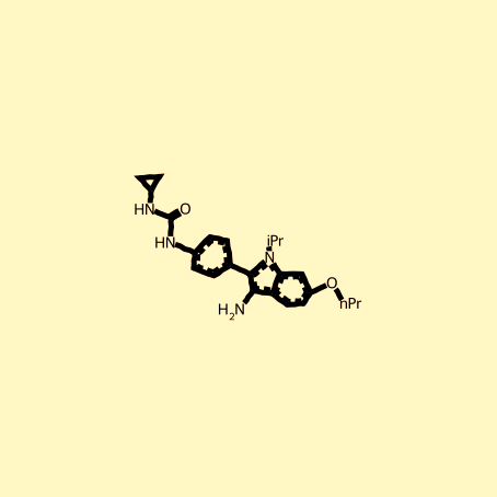 CCCOc1ccc2c(N)c(-c3ccc(NC(=O)NC4CC4)cc3)n(C(C)C)c2c1